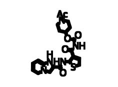 CC(=O)N1CCC(OC(=O)NC(=O)C2=CCSC2NC(=O)C2CN3CC=CC=C3N2)CC1